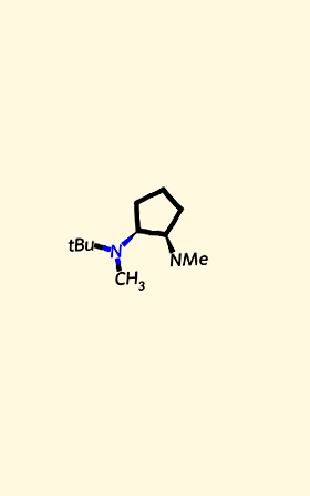 CN[C@@H]1CCC[C@@H]1N(C)C(C)(C)C